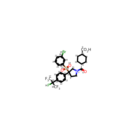 O=C(O)[C@H]1CC[C@H](C(=O)N2CCC(c3ccc(C(F)(C(F)(F)F)C(F)(F)F)cc3)(S(=O)(=O)c3cccc(Br)c3)C2)CC1